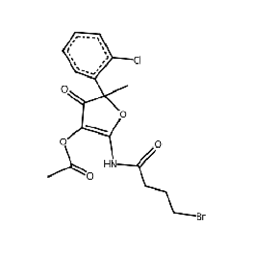 CC(=O)OC1=C(NC(=O)CCCBr)OC(C)(c2ccccc2Cl)C1=O